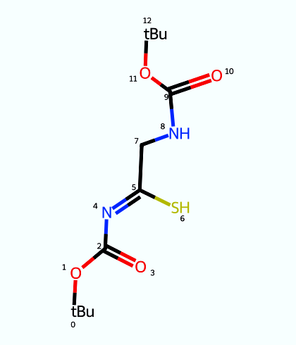 CC(C)(C)OC(=O)N=C(S)CNC(=O)OC(C)(C)C